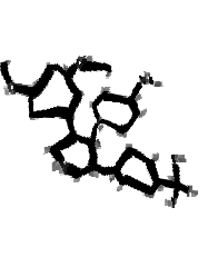 COc1cc(OC)cc(-c2cncc(-c3ccc(C(F)(F)F)cc3)c2N2CCC(N)CC2)c1